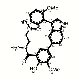 CCCN(CC)CCN(C)C(=O)c1cc(-c2cnc3[nH]cc(-c4ccccc4OC)c3c2)cc(OC)c1O